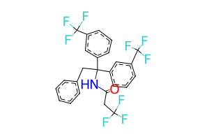 O=C(CC(F)(F)F)NC(Cc1ccccc1)(c1cccc(C(F)(F)F)c1)c1cccc(C(F)(F)F)c1